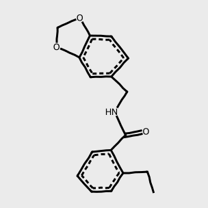 CCc1ccccc1C(=O)NCc1ccc2c(c1)OCO2